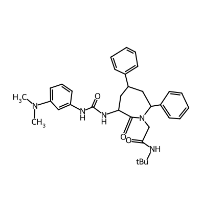 CN(C)c1cccc(NC(=O)NC2CC(c3ccccc3)CC(c3ccccc3)N(CC(=O)NC(C)(C)C)C2=O)c1